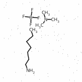 CCCCCCCN.CN(C)C.F[B-](F)(F)F